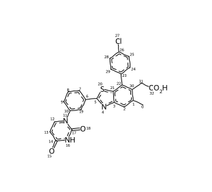 Cc1cc2nc(-c3cccc(-n4ccc(=O)[nH]c4=O)c3)sc2c(-c2ccc(Cl)cc2)c1CC(=O)O